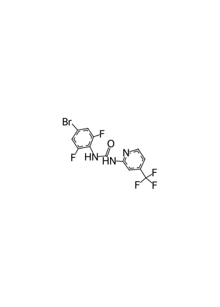 O=C(Nc1cc(C(F)(F)F)ccn1)Nc1c(F)cc(Br)cc1F